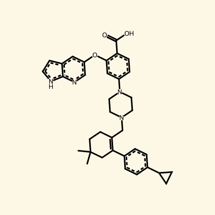 CC1(C)CCC(CN2CCN(c3ccc(C(=O)O)c(Oc4cnc5[nH]ccc5c4)c3)CC2)=C(c2ccc(C3CC3)cc2)C1